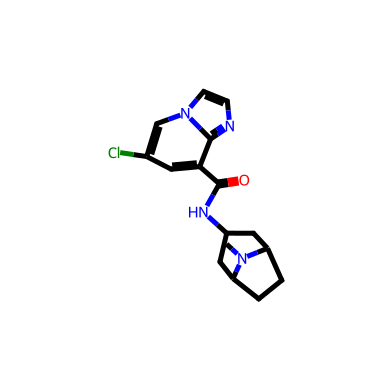 CN1C2CCC1CC(NC(=O)c1cc(Cl)cn3ccnc13)C2